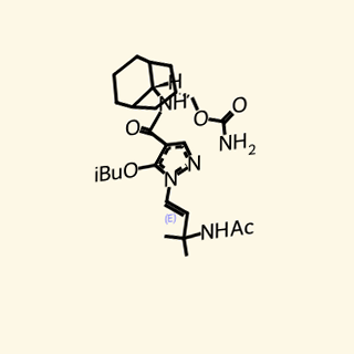 CC(=O)NC(C)(C)/C=C/n1ncc(C(=O)N[C@H]2C3CCCC2C[C@@H](COC(N)=O)C3)c1OCC(C)C